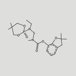 CCN(SN(C)C(=O)Oc1cccc2c1OC(C)(C)C2)P1(=O)OCC(C)(C)CO1